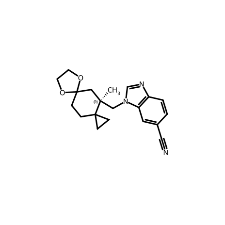 C[C@@]1(Cn2cnc3ccc(C#N)cc32)CC2(CCC13CC3)OCCO2